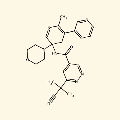 CC1=C(c2cccnc2)CC(NC(=O)c2cnnc(C(C)(C)C#N)c2)(N2CCOCC2)C=N1